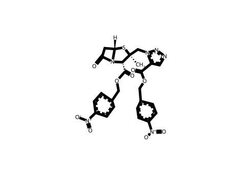 C[C@@]1(Cn2nncc2C(=O)OCc2ccc([N+](=O)[O-])cc2)S[C@H]2CC(=O)N2[C@H]1C(=O)OCc1ccc([N+](=O)[O-])cc1